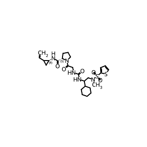 C=CC1C[C@H]1NC(=O)[C@@H]1CCCN1C(=O)CNC(=O)NC(CN(C)S(=O)(=O)c1cccs1)C1CCCCC1